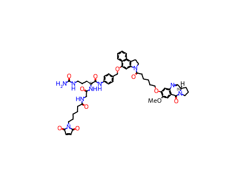 COc1cc2c(cc1OCCCCCC(=O)N1CCc3c1cc(OCc1ccc(NC(=O)[C@H](CCCNC(N)=O)NC(=O)CNC(=O)CCCCCN4C(=O)C=CC4=O)cc1)c1ccccc31)N=C[C@@H]1CCCN1C2=O